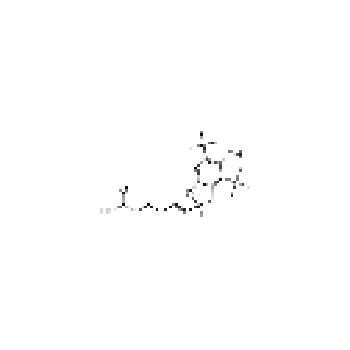 CC1(C=CCCCC(=O)O)Cc2c(cc(C(C)(C)C)c(O)c2C(C)(C)C)O1